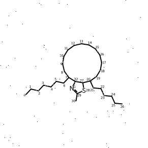 CCCCCCCC1CCCCCCCCCCCCC(CCCCCC)C2SC(C)=NC12